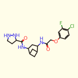 O=C(COc1ccc(Cl)c(F)c1)NC1CC(NC(=O)C2CCNN2)C2CC1C2